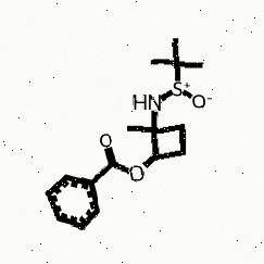 CC1(N[S+]([O-])C(C)(C)C)CCC1OC(=O)c1ccccc1